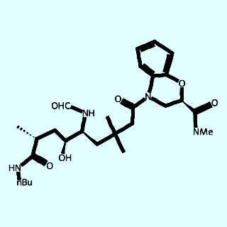 CCCCNC(=O)[C@H](C)C[C@H](O)[C@H](CC(C)(C)CC(=O)N1C[C@H](C(=O)NC)Oc2ccccc21)NC=O